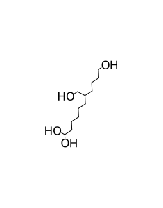 OCCCCC(CO)CCCCCC(O)O